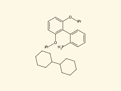 C1CCC(C2CCCCC2)CC1.CC(C)Oc1cccc(OC(C)C)c1-c1ccccc1P